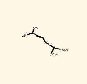 CCCCC(O)CCCCC(C(=O)O)C(=O)O